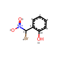 O=[N+]([O-])C(Br)c1ccccc1O